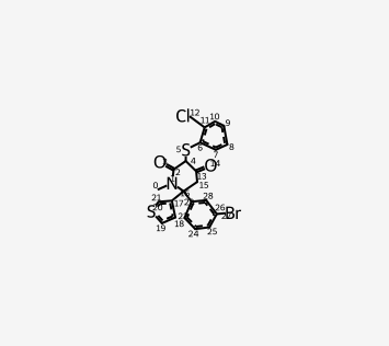 CN1C(=O)C(Sc2ccccc2Cl)C(=O)CC1(c1ccsc1)c1cccc(Br)c1